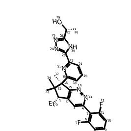 CC[C@H]1c2cc(-c3c(F)cccc3F)nnc2[C@](C)(c2cccc(-c3nnc([C@@H](C)O)[nH]3)n2)C1(C)C